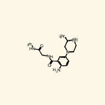 CC(C)NC(=O)CNC(=O)c1cc(N2CCNC(C(C)C)C2)ccc1N